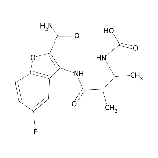 CC(NC(=O)O)C(C)C(=O)Nc1c(C(N)=O)oc2ccc(F)cc12